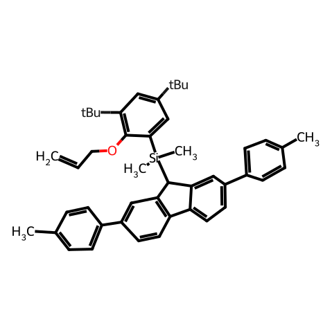 C=CCOc1c(C(C)(C)C)cc(C(C)(C)C)cc1[Si](C)(C)C1c2cc(-c3ccc(C)cc3)ccc2-c2ccc(-c3ccc(C)cc3)cc21